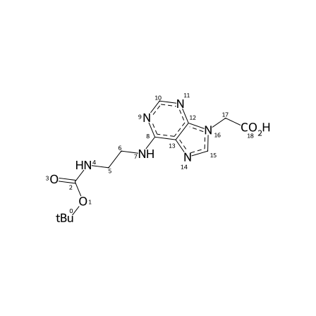 CC(C)(C)OC(=O)NCCNc1ncnc2c1ncn2CC(=O)O